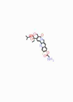 CC[C@@]1(OC(=O)C(C)C)C(=O)OCc2c1cc1n(c2=O)Cc2cc3cc(OC(=O)CN)c(F)cc3nc2-1